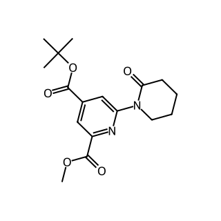 COC(=O)c1cc(C(=O)OC(C)(C)C)cc(N2CCCCC2=O)n1